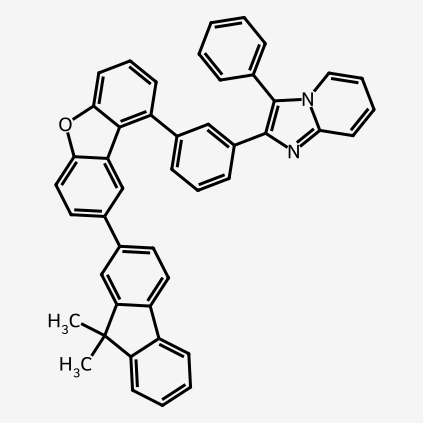 CC1(C)c2ccccc2-c2ccc(-c3ccc4oc5cccc(-c6cccc(-c7nc8ccccn8c7-c7ccccc7)c6)c5c4c3)cc21